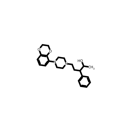 CC(O)C(CCN1CCN(c2cccc3c2OCCO3)CC1)c1ccccc1